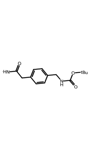 CC(C)(C)OC(=O)NCc1ccc(CC([NH])=O)cc1